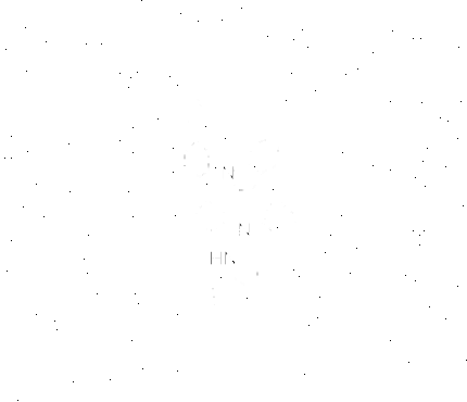 C1=CC(c2cccc(-n3c4c(c5ccccc53)-c3ccccc3N(C3C=CC5=C(C=CCC5)N3)c3ccccc3-4)c2)=CCC1